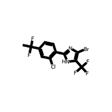 CC(F)(F)c1ccc(-c2nc(Br)c(C(F)(F)F)[nH]2)c(Cl)c1